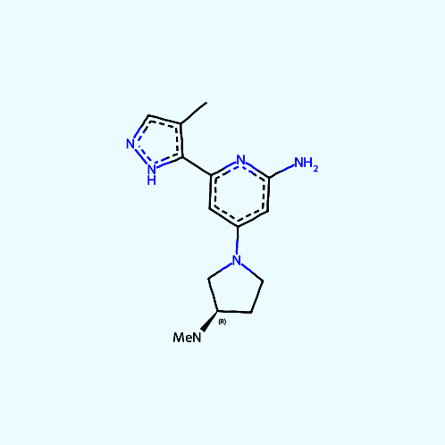 CN[C@@H]1CCN(c2cc(N)nc(-c3[nH]ncc3C)c2)C1